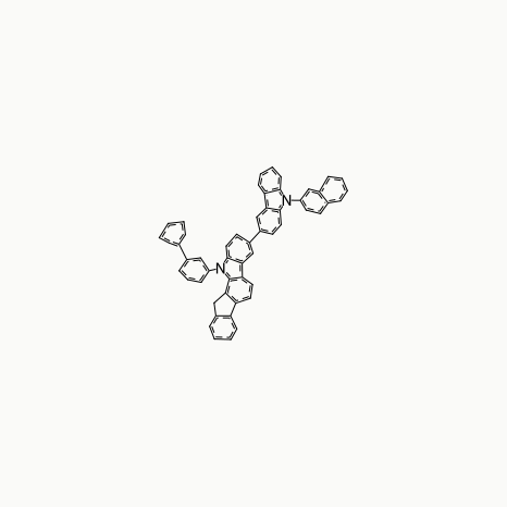 c1ccc(-c2cccc(-n3c4ccc(-c5ccc6c(c5)c5ccccc5n6-c5ccc6ccccc6c5)cc4c4ccc5c(c43)Cc3ccccc3-5)c2)cc1